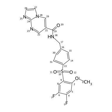 COc1cc(F)c(F)cc1S(=O)(=O)c1ccc(CNC(=O)c2cnc3nccn3c2)cc1